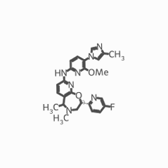 COc1nc(Nc2ccc3c(n2)O[C@H](c2ccc(F)cn2)CN(C)C3C)ccc1-n1cnc(C)c1